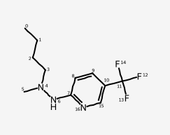 CCCCN(C)Nc1ccc(C(F)(F)F)cn1